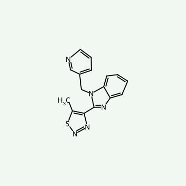 Cc1snnc1-c1nc2ccccc2n1Cc1cccnc1